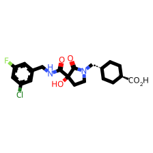 O=C(NCc1cc(F)cc(Cl)c1)C1(O)CCN(C[C@H]2CC[C@H](C(=O)O)CC2)C1=O